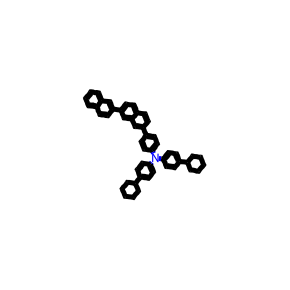 c1ccc2cc(-c3ccc4ccc(-c5ccc(N(c6ccc(C7CCCCC7)cc6)c6ccc(C7CCCCC7)cc6)cc5)cc4c3)ccc2c1